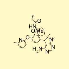 C=CC(=O)N[C@H]1CC[C@H](C2(C)C(c3ccc(Oc4cccc(C)n4)c(OC)c3)c3c(N)ncnc3N2C)CC1